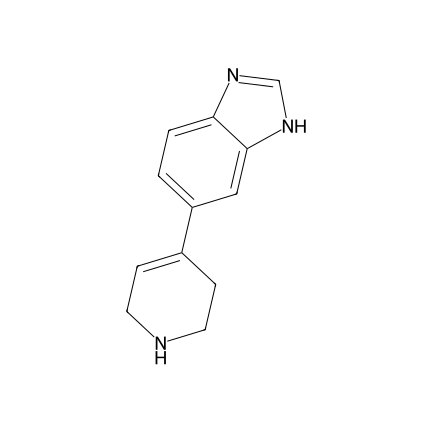 C1=C(c2ccc3nc[nH]c3c2)CCNC1